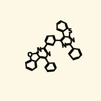 c1ccc(-c2nc(-c3cccc(-c4nc(-c5ccccc5)c5c(n4)oc4ccccc45)c3)c3c(n2)sc2ccccc23)cc1